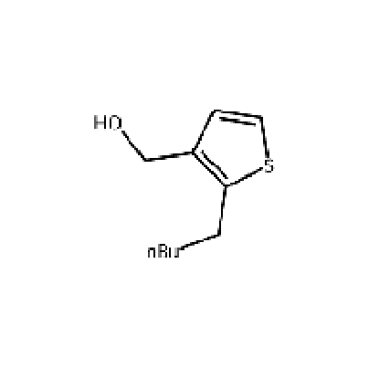 CCCCCc1sccc1CO